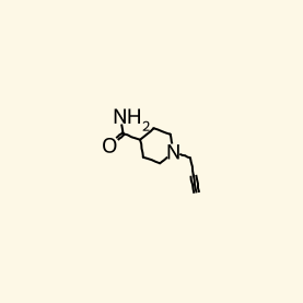 C#CCN1CCC(C(N)=O)CC1